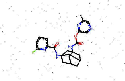 Cc1cncc(OC(=O)NC23CC4CC(C2)CC(NC(=O)c2cccc(F)n2)(C4)C3)n1